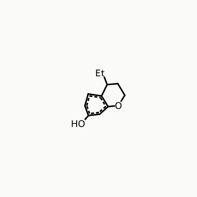 CCC1CCOc2cc(O)ccc21